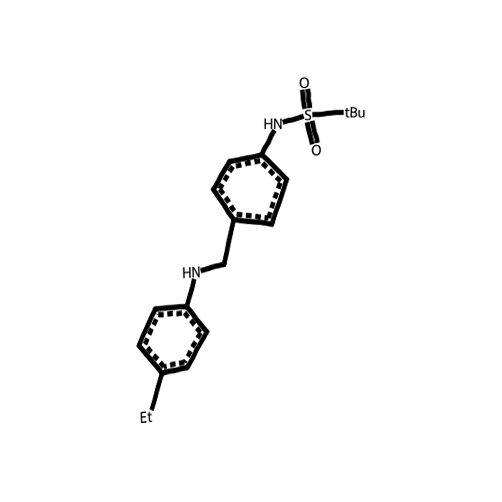 CCc1ccc(NCc2ccc(NS(=O)(=O)C(C)(C)C)cc2)cc1